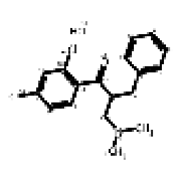 CN(C)CC(Cc1ccccc1)C(=O)c1ccc(Cl)cc1Cl.Cl